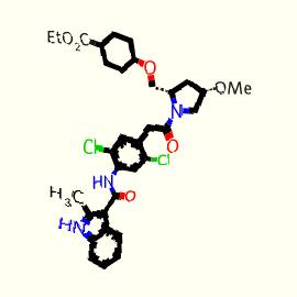 CCOC(=O)C1CCC(OC[C@@H]2C[C@H](OC)CN2C(=O)Cc2cc(Cl)c(NC(=O)c3c(C)[nH]c4ccccc34)cc2Cl)CC1